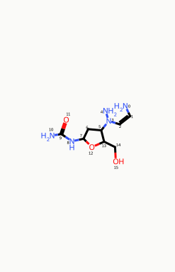 N/C=C\N(N)C1CC(NC(N)=O)OC1CO